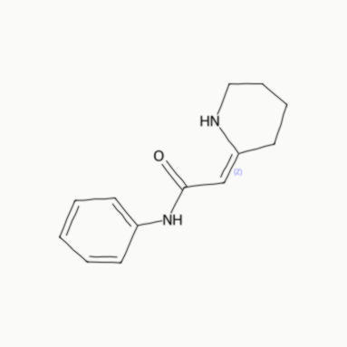 O=C(/C=C1/CCCCN1)Nc1ccccc1